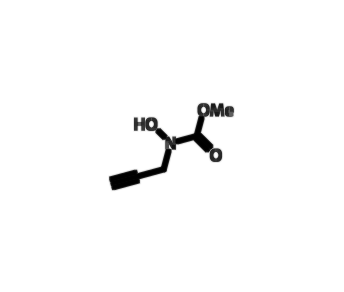 C#CCN(O)C(=O)OC